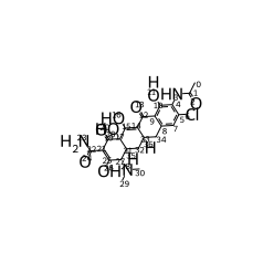 CC(=O)Nc1c(Cl)cc2c(c1O)C(=O)C1=C(O)[C@]3(O)C(=O)C(C(N)=O)=C(O)[C@@H](N(C)C)[C@@H]3C[C@@H]1C2